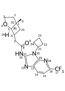 C[C@]12CCO[C@@H]1C(CC(=O)Nc1nc3ccc(C(F)(F)F)nc3n1C1CCC1)C2